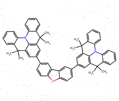 CC1(C)c2ccccc2N2c3ccccc3C(C)(C)c3cc(-c4ccc5oc6ccc(-c7cc8c9c(c7)C(C)(C)c7ccccc7N9c7ccccc7C8(C)C)cc6c5c4)cc1c32